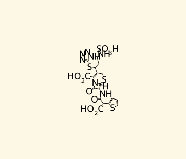 O=C(O)C1=C(C(CCNS(=O)(=O)O)Sc2nnn[nH]2)CS[C@H]2C(NC(=O)C(C(=O)O)c3cccs3)C(=O)N12